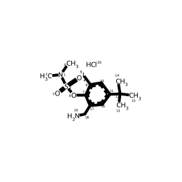 CN(C)S(=O)(=O)Oc1c(I)cc(C(C)(C)C)cc1CN.Cl